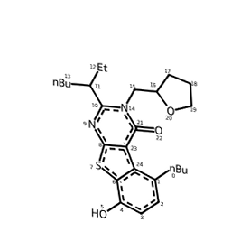 CCCCc1ccc(O)c2sc3nc(C(CC)CCCC)n(CC4CCCO4)c(=O)c3c12